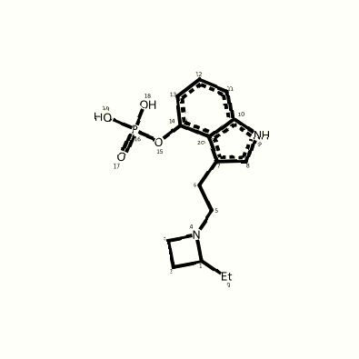 CCC1CCN1CCc1c[nH]c2cccc(OP(=O)(O)O)c12